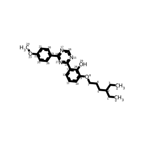 CCC(CC)CCCOc1cccc(-c2ncnc(-c3ccc(OC)cc3)n2)c1O